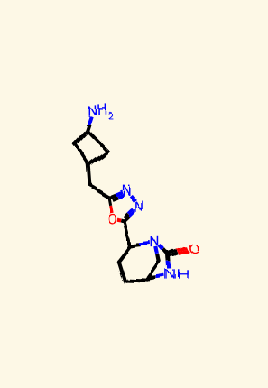 NC1CC(Cc2nnc(C3CCC4CN3C(=O)N4)o2)C1